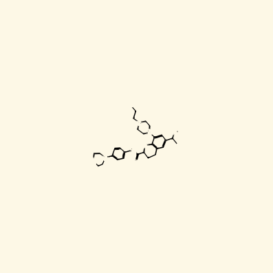 CCCN1CCN(c2cc(C(C)O)cc3c2OC(C(=O)Nc2ccc(N4CCOCC4)cc2)CC3)CC1